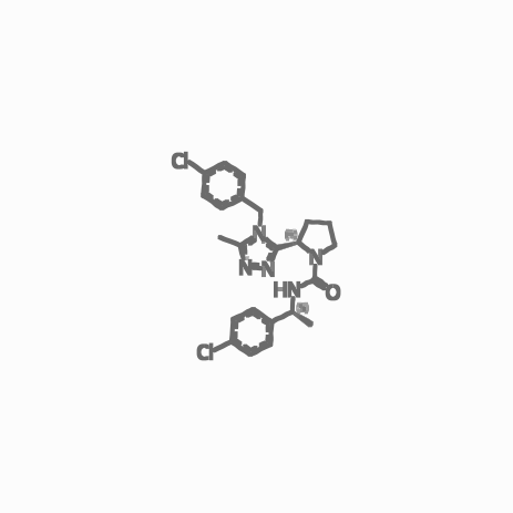 Cc1nnc([C@H]2CCCN2C(=O)N[C@@H](C)c2ccc(Cl)cc2)n1Cc1ccc(Cl)cc1